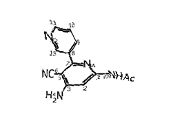 CC(=O)Nc1cc(N)c(C#N)c(-c2cccnc2)n1